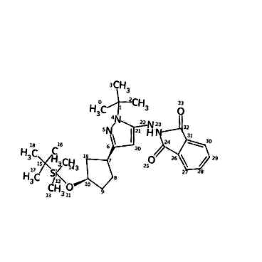 CC(C)(C)n1nc([C@H]2CC[C@@H](O[Si](C)(C)C(C)(C)C)C2)cc1NN1C(=O)c2ccccc2C1=O